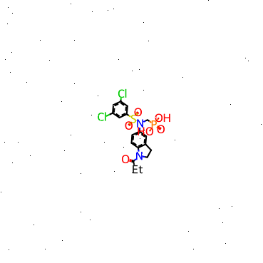 CCC(=O)N1CCc2cc(N(CP(=O)(O)O)S(=O)(=O)c3cc(Cl)cc(Cl)c3)ccc21